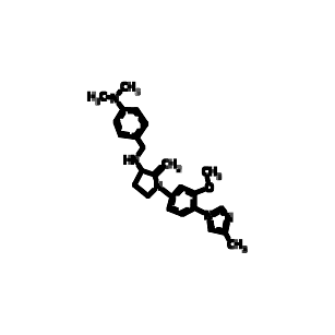 C=C1C(NCc2ccc(N(C)C)cc2)CCN1c1ccc(-n2cnc(C)c2)c(OC)c1